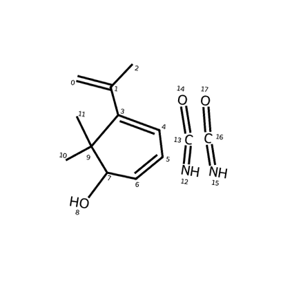 C=C(C)C1=CC=CC(O)C1(C)C.N=C=O.N=C=O